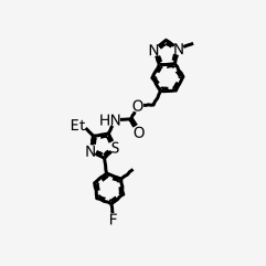 CCc1nc(-c2ccc(F)cc2C)sc1NC(=O)OCc1ccc2c(c1)ncn2C